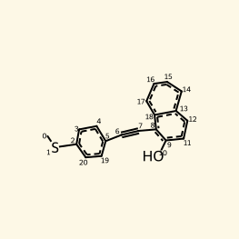 CSc1ccc(C#Cc2c(O)ccc3ccccc23)cc1